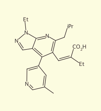 CCC(=Cc1c(CC(C)C)nc2c(cnn2CC)c1-c1cncc(C)c1)C(=O)O